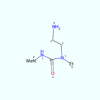 CCN(CCN)C(=O)NNC